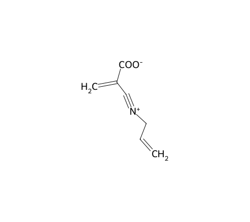 C=CC[N+]#CC(=C)C(=O)[O-]